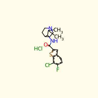 CC1(C)C(NC(=O)c2cc3ccc(F)c(Cl)c3s2)C2CCN1CC2.Cl